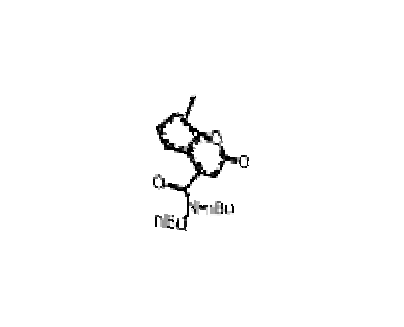 CCCCN(CCCC)C(=O)c1cc(=O)oc2c(C)cccc12